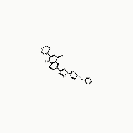 O=c1cc(N2CCOCC2)[nH]c2ccc(-c3cn(-c4ccc(OCc5ccccc5)cc4)nn3)cc12